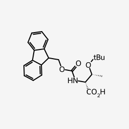 C[C@@H](OC(C)(C)C)[C@@H](NC(=O)OCC1c2ccccc2-c2ccccc21)C(=O)O